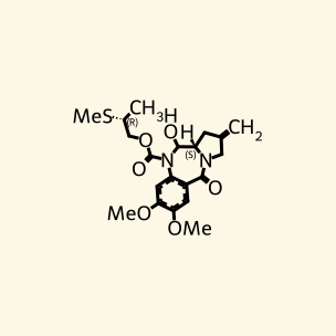 C=C1C[C@H]2C(O)N(C(=O)OC[C@@H](C)SC)c3cc(OC)c(OC)cc3C(=O)N2C1